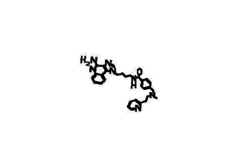 CN(CCc1ccccn1)Cc1ccc(C(=O)NCCCCn2cnc3c(N)nc4ccccc4c32)cc1